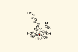 CCCCC(O)(CO)C(=O)C(O)(COCCOCCO)C(=O)C(O)(CO)CCCC.CCOCC